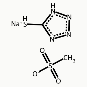 CS(=O)(=O)[O-].Sc1nnn[nH]1.[Na+]